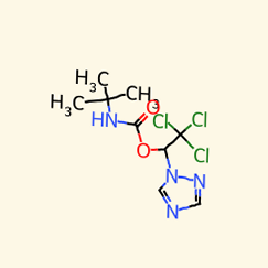 CC(C)(C)NC(=O)OC(n1cncn1)C(Cl)(Cl)Cl